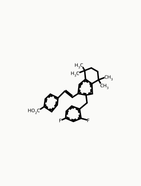 CC1(C)CCC(C)(C)c2cc(Cc3ccc(F)cc3F)c(C=Cc3ccc(C(=O)O)cc3)cc21